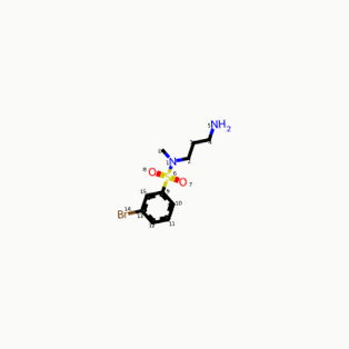 CN(CCCN)S(=O)(=O)c1cccc(Br)c1